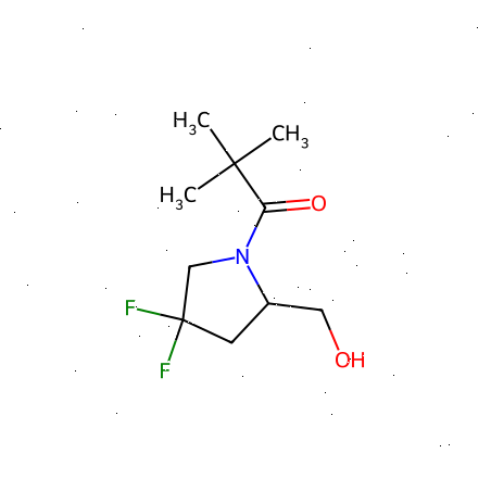 CC(C)(C)C(=O)N1CC(F)(F)CC1CO